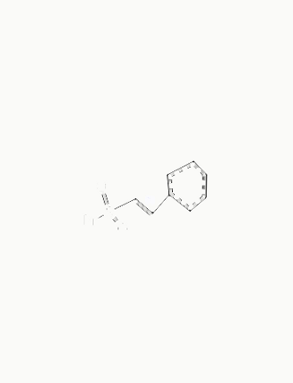 CC(C)S(=O)(=O)/C=C/c1ccccc1